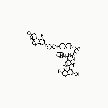 CCc1c(F)ccc2cc(O)cc(-c3ncc4c(N5CC6CCC(C5)N6)nc(OCC5(CN6CCC7(CCC(N8CC9(CCN(c%10cc(F)c(C%11CCC(=O)NC%11=O)c(F)c%10)C9)C8)CC7)CC6)CC5)nc4c3F)c12